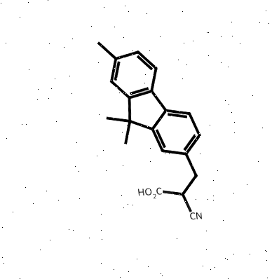 Cc1ccc2c(c1)C(C)(C)c1cc(CC(C#N)C(=O)O)ccc1-2